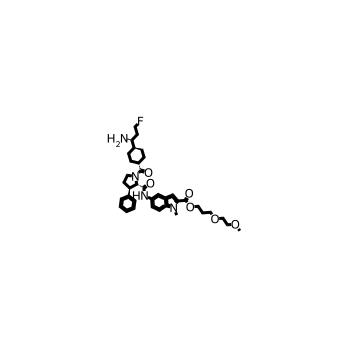 COCCOCCCOC(=O)c1cc2cc(NC(=O)[C@@H]3[C@@H](c4ccccc4)CCN3C(=O)[C@H]3CC[C@H]([C@H](N)CCF)CC3)ccc2n1C